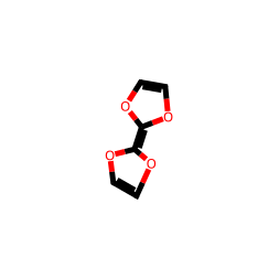 C1=COC(=C2OC=CO2)O1